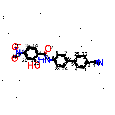 N#Cc1ccc(-c2ccc(NC(=O)c3ccc([N+](=O)[O-])cc3O)cc2)cc1